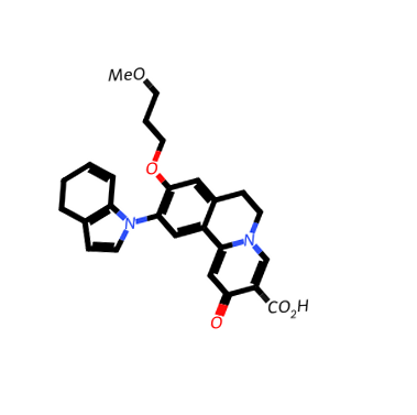 COCCCOc1cc2c(cc1-n1ccc3c1C=CCC3)-c1cc(=O)c(C(=O)O)cn1CC2